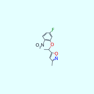 Cc1cc(C(C)Oc2cc(F)ccc2[N+](=O)[O-])on1